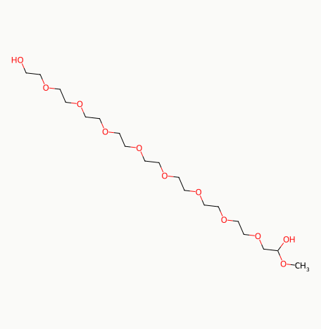 COC(O)COCCOCCOCCOCCOCCOCCOCCOCCO